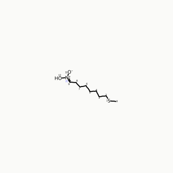 CSCCCCCCC/C=[N+](\[O-])O